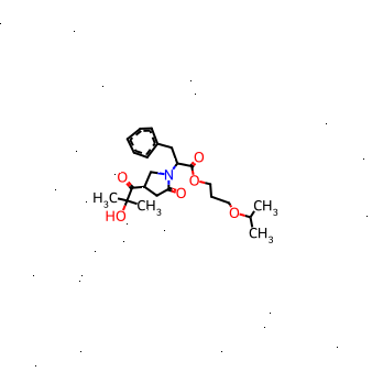 CC(C)OCCCOC(=O)C(Cc1ccccc1)N1CC(C(=O)C(C)(C)O)CC1=O